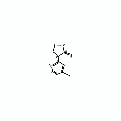 Cc1ccnc(N2CCOC2=O)c1